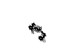 N#Cc1cccc(C2CCCN2C(=O)[C@H](O)[C@@H](O)C(=O)NCc2ccc(Cc3ccccc3Cl)s2)c1